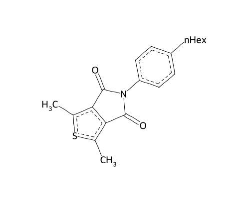 CCCCCCc1ccc(N2C(=O)c3c(C)sc(C)c3C2=O)cc1